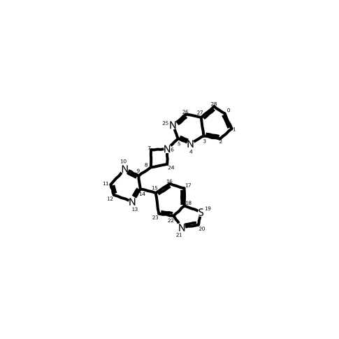 c1ccc2nc(N3CC(c4nccnc4-c4ccc5scnc5c4)C3)ncc2c1